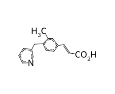 Cc1cc(C=CC(=O)O)ccc1Cc1cccnc1